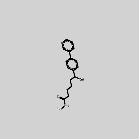 O=C(CCCCC(O)c1ccc(-c2cccnc2)cc1)NO